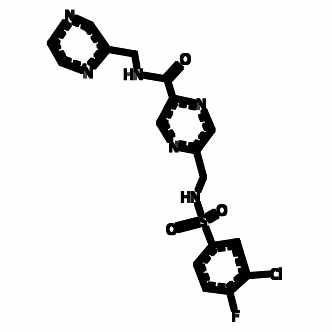 O=C(NCc1cnccn1)c1cnc(CNS(=O)(=O)c2ccc(F)c(Cl)c2)cn1